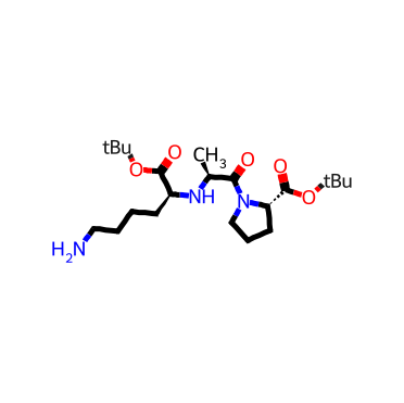 C[C@H](N[C@@H](CCCCN)C(=O)OC(C)(C)C)C(=O)N1CCC[C@H]1C(=O)OC(C)(C)C